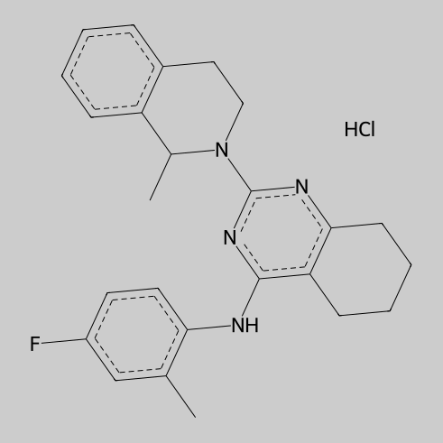 Cc1cc(F)ccc1Nc1nc(N2CCc3ccccc3C2C)nc2c1CCCC2.Cl